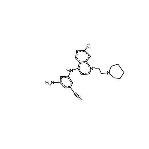 N#Cc1cc(N)cc(Nc2cc[n+](CCN3CCCCC3)c3cc(Cl)ccc23)c1